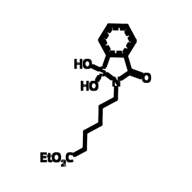 CCOC(=O)CCCCCN1C(=O)c2ccccc2S1(O)O